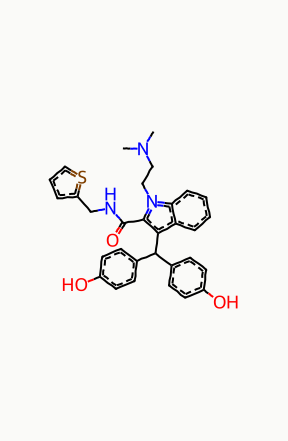 CN(C)CCn1c(C(=O)NCc2cccs2)c(C(c2ccc(O)cc2)c2ccc(O)cc2)c2ccccc21